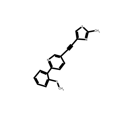 CSc1ccccc1-c1ccc(C#Cc2csc(C)n2)cn1